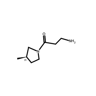 C[C@@H]1CCN(C(=O)CCN)C1